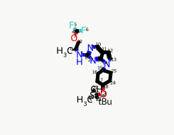 C[C@@H](COC(F)F)Nc1ncc2ccn(C3CCC(O[Si](C)(C)C(C)(C)C)CC3)c2n1